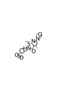 CCSc1nc(N2CCOCC2)cc(C)c1C(=O)NCc1cccc(S(C)(=O)=O)c1